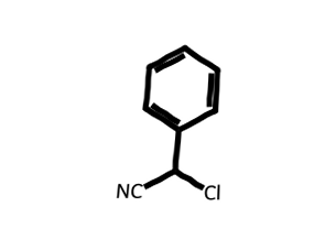 N#CC(Cl)c1ccccc1